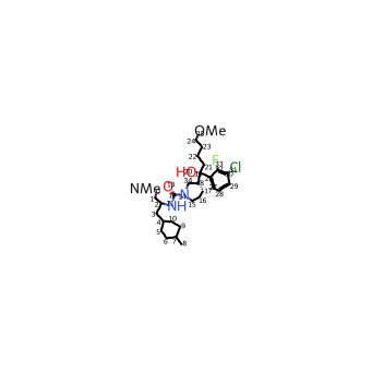 CNCC(CC1CCC(C)CC1)NC(=O)N1CCC[C@@H]([C@@](O)(CCCCOC)c2cccc(Cl)c2F)C1